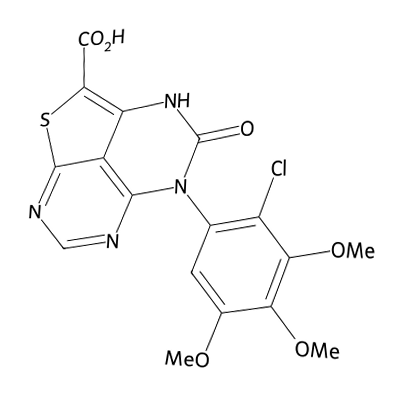 COc1cc(N2C(=O)Nc3c(C(=O)O)sc4ncnc2c34)c(Cl)c(OC)c1OC